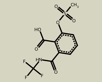 CS(=O)(=O)Oc1cccc(C(=O)NC(F)(F)F)c1C(=O)O